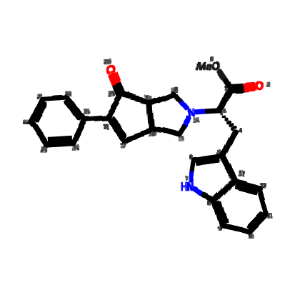 COC(=O)[C@H](Cc1c[nH]c2ccccc12)N1CC2C=C(c3ccccc3)C(=O)C2C1